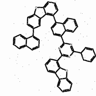 C1=CCC(c2nc(-c3ccc(-c4cccc5oc6ccc(-c7cccc8ccccc78)cc6c45)c4ccccc34)nc(-c3cccc4c3oc3ccccc34)n2)C=C1